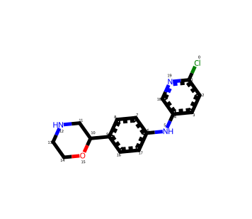 Clc1ccc(Nc2ccc(C3CNCCO3)cc2)cn1